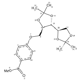 COC(=O)c1ccc(OC[C@H]2OC(C)(C)O[C@@H]2[C@H]2COC(C)(C)O2)cc1